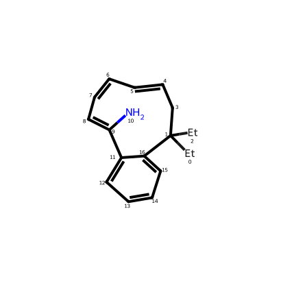 CCC1(CC)C/C=C/C=C\C=C(/N)c2ccccc21